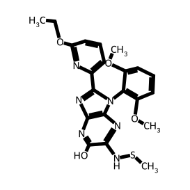 CCOc1cccc(-c2nc3nc(O)c(NSC)nc3n2-c2c(OC)cccc2OC)n1